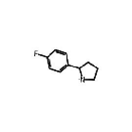 Fc1ccc(C2CCC[N]2)cc1